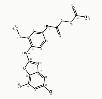 COc1cc(NC(=O)COC(C)=O)ccc1Nc1nc2cc(Cl)cc(Cl)c2o1